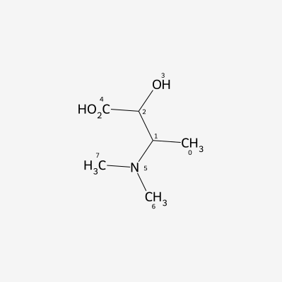 CC(C(O)C(=O)O)N(C)C